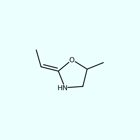 CC=C1NCC(C)O1